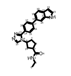 CCNC(=O)C1CCC(n2cnnc2-c2ccc(-c3ccc4cc[nH]c4c3)cc2)C1